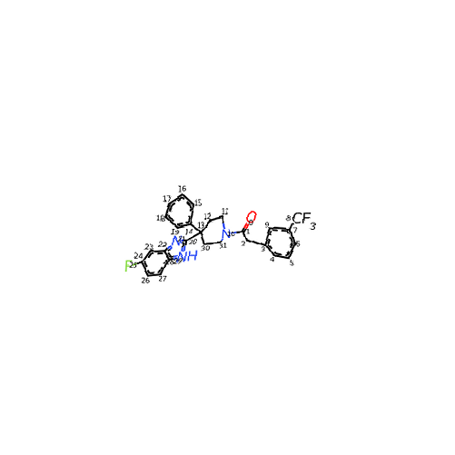 O=C(Cc1cccc(C(F)(F)F)c1)N1CCC(c2ccccc2)(c2nc3cc(F)ccc3[nH]2)CC1